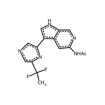 CC(=O)Nc1cc2c(-c3cncc(C(C)(F)F)n3)c[nH]c2cn1